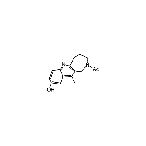 CC(=O)N1CCCc2nc3ccc(O)cc3c(C)c2C1